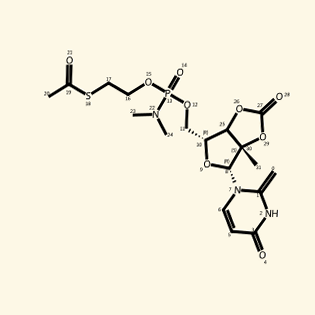 C=C1NC(=O)C=CN1[C@@H]1O[C@H](COP(=O)(OCCSC(C)=O)N(C)C)C2OC(=O)O[C@@]21C